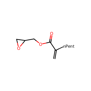 C=C(CCCCC)C(=O)OCC1CO1